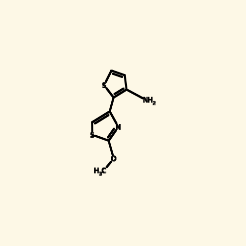 COc1nc(-c2sccc2N)cs1